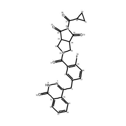 O=C(c1cc(Cc2n[nH]c(=O)c3ccccc23)ccc1F)N1CC2C(=O)N(C(=O)C3CC3)C(=O)C2C1